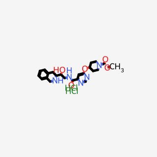 COC(=O)N1CCC(Oc2cc(C(=O)NCC(O)C3Cc4ccccc4CN3)ncn2)CC1.Cl.Cl